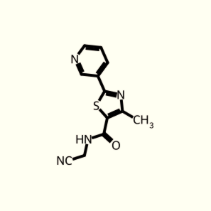 Cc1nc(-c2cccnc2)sc1C(=O)NCC#N